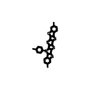 Cc1ccc(-n2c3c4ccc(C)cc4sc3c3sc4c5sc6c7ccc(C)cc7oc6c5sc4c32)cc1